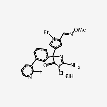 CCn1cc(C2(c3cccc(-c4cccnc4F)c3)N=C(N)N(C)C2=O)cc1C=NOC.Cl